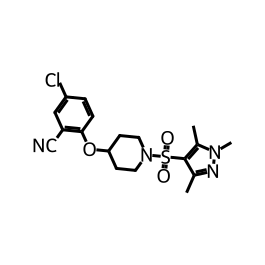 Cc1nn(C)c(C)c1S(=O)(=O)N1CCC(Oc2ccc(Cl)cc2C#N)CC1